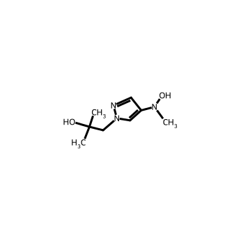 CN(O)c1cnn(CC(C)(C)O)c1